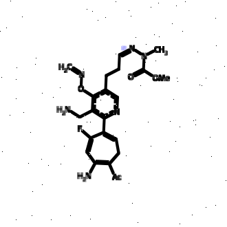 C=NOc1c(CC/C=N\N(C)C(=O)OC)cnc(C2=CCC(C(C)=O)=C(N)C=C2F)c1CN